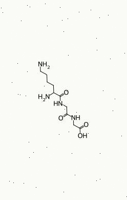 NCCCCC(N)C(=O)NCC(=O)NCC(=O)O